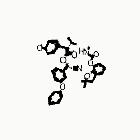 CC(C)[C@H](C(=O)O[C@H](C#N)c1cccc(Oc2ccccc2)c1)c1ccc(Cl)cc1.CNC(=O)Oc1cccc2c1OC(C)(C)C2